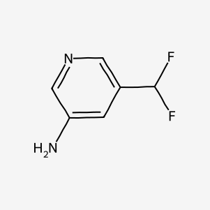 Nc1cncc(C(F)F)c1